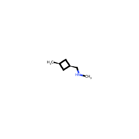 CNC[C@H]1C[C@@H](C)C1